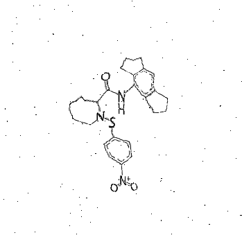 O=C(Nc1c2c(cc3c1CCC3)CCC2)C1CCCCN1Sc1ccc([N+](=O)[O-])cc1